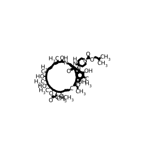 CC[C@H]1[C@@H](OC(C)=O)[C@H](C)[C@H](O)[C@H](C)[C@@H](O)[C@@H](C)/C=C/C=C(/C)C(=O)NC2=C3NC4(CCN(C(=O)OCC(C)C)CC4)N=C3c3c(c(O)c(C)c4c3C(O)[C@@](CC)(C/C=C/[C@@H]1OC)O4)C2=O